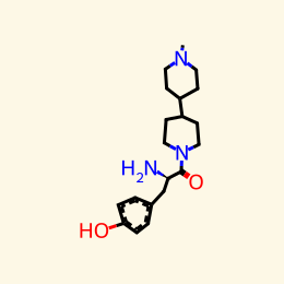 CN1CCC(C2CCN(C(=O)[C@H](N)Cc3ccc(O)cc3)CC2)CC1